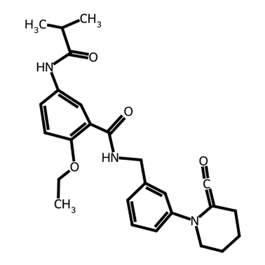 CCOc1ccc(NC(=O)C(C)C)cc1C(=O)NCc1cccc(N2CCCCC2=C=O)c1